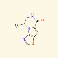 CC1CNC(=O)c2cc3scnc3n21